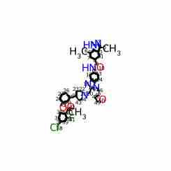 Cc1n[nH]c2c(C)cc(C(=O)Nc3ccc4c(c3)nc(CN3CC=C(c5cccc6c5O[C@@](C)(c5ccc(Cl)cc5F)O6)CC3)n4C[C@@H]3CCO3)cc12